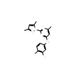 Cc1cc(Nc2ccc(Cl)c(Cl)c2)nc(-n2nc(C)cc2C)n1